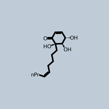 CCC/C=C\CCCC[C@]1(O)C(=O)C=C[C@H](O)[C@H]1O